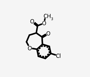 COC(=O)C1CCOc2ccc(Cl)cc2C1=O